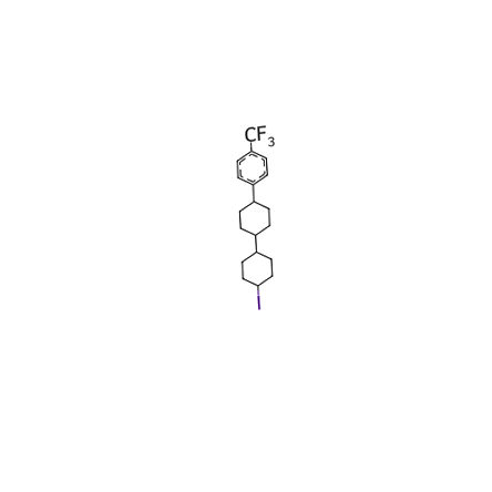 FC(F)(F)c1ccc(C2CCC(C3CCC(I)CC3)CC2)cc1